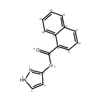 O=C(Oc1cc[nH]n1)c1cccc2ccccc12